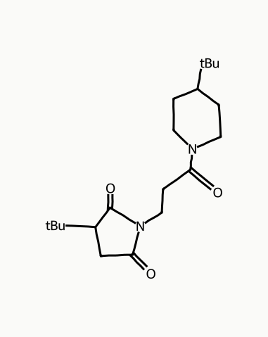 CC(C)(C)C1CCN(C(=O)CCN2C(=O)CC(C(C)(C)C)C2=O)CC1